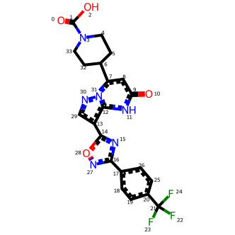 O=C(O)N1CCC(c2cc(=O)[nH]c3c(-c4nc(-c5ccc(C(F)(F)F)cc5)no4)cnn23)CC1